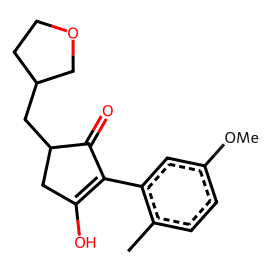 COc1ccc(C)c(C2=C(O)CC(CC3CCOC3)C2=O)c1